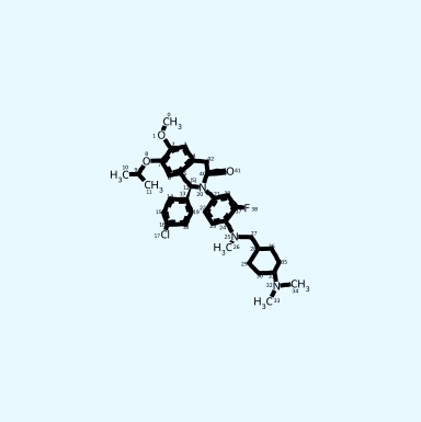 COc1cc2c(cc1OC(C)C)[C@H](c1ccc(Cl)cc1)N(c1ccc(N(C)CC3CCC(N(C)C)CC3)c(F)c1)C(=O)C2